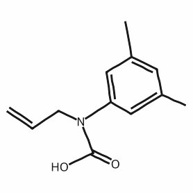 C=CCN(C(=O)O)c1cc(C)cc(C)c1